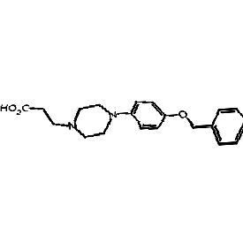 O=C(O)CCN1CCN(c2ccc(OCc3ccccc3)cc2)CC1